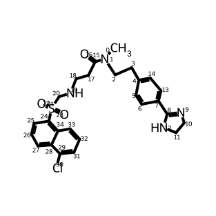 CN(CCc1ccc(C2=NCCN2)cc1)C(=O)CCNCS(=O)(=O)c1cccc2c(Cl)cccc12